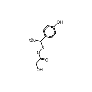 CC(C)(C)C(SOC(=O)CO)c1ccc(O)cc1